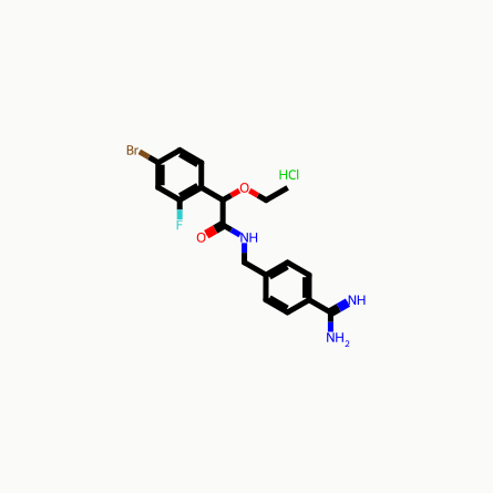 CCOC(C(=O)NCc1ccc(C(=N)N)cc1)c1ccc(Br)cc1F.Cl